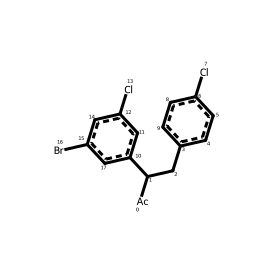 CC(=O)C(Cc1ccc(Cl)cc1)c1cc(Cl)cc(Br)c1